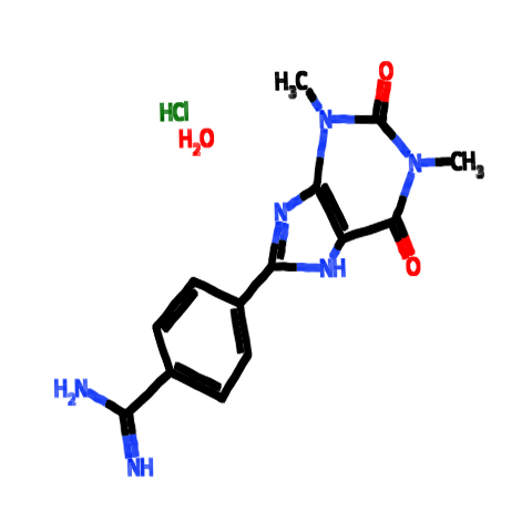 Cl.Cn1c(=O)c2[nH]c(-c3ccc(C(=N)N)cc3)nc2n(C)c1=O.O